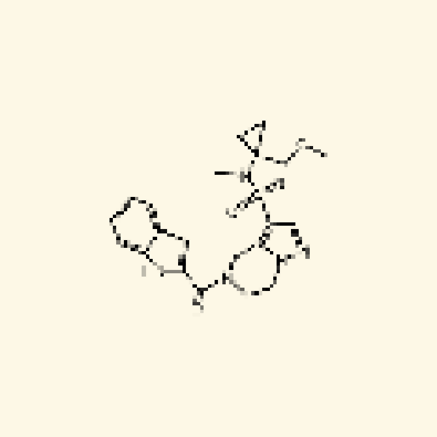 COCC1(N(C)S(=O)(=O)c2cnn3c2CN(C(=O)c2cc4ccccc4[nH]2)CC3)CC1